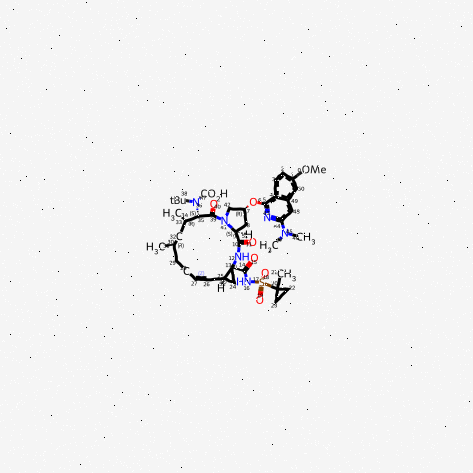 COc1ccc2c(O[C@@H]3C[C@H]4C(=O)N[C@]5(C(=O)NS(=O)(=O)C6(C)CC6)C[C@H]5/C=C\CC[C@@H](C)C[C@@H](C)[C@H](N(C(=O)O)C(C)(C)C)C(=O)N4C3)nc(N(C)C)cc2c1